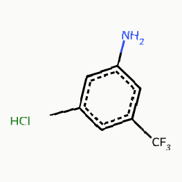 Cc1cc(N)cc(C(F)(F)F)c1.Cl